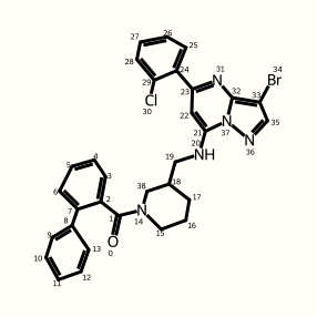 O=C(c1ccccc1-c1ccccc1)N1CCCC(CNc2cc(-c3ccccc3Cl)nc3c(Br)cnn23)C1